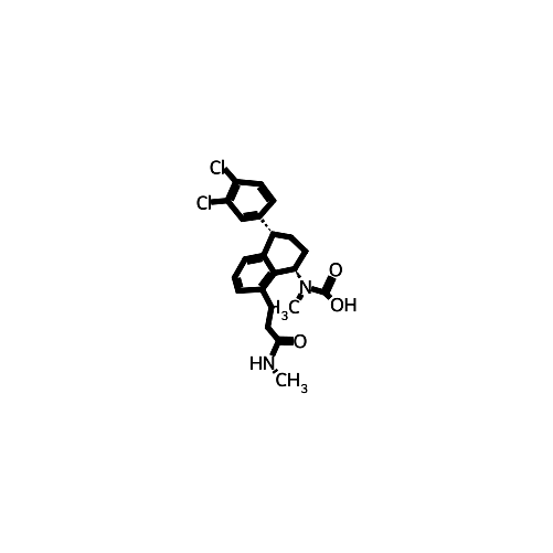 CNC(=O)CCc1cccc2c1[C@@H](N(C)C(=O)O)CC[C@H]2c1ccc(Cl)c(Cl)c1